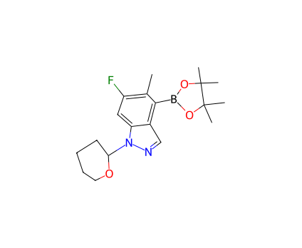 Cc1c(F)cc2c(cnn2C2CCCCO2)c1B1OC(C)(C)C(C)(C)O1